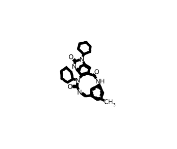 Cc1cc2cc(c1)NC(=O)C1=C(C3=NC(=O)N(C4CCCCC4)C(=C1)C3)N(C1CCCCC1)C(=O)/N=C\2